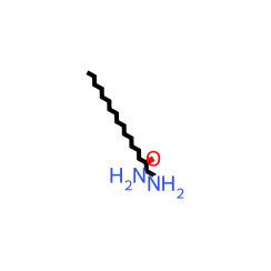 CCCCCCCCCCCCCCCC(=O)C(N)CN